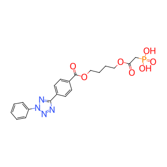 O=C(CP(=O)(O)O)OCCCCOC(=O)c1ccc(-c2nnn(-c3ccccc3)n2)cc1